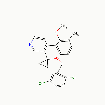 COc1c(C)cccc1-c1ccncc1C1(OCc2cc(Cl)ccc2Cl)CC1